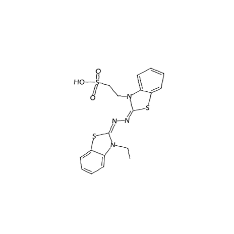 CCn1c(=NN=c2sc3ccccc3n2CCS(=O)(=O)O)sc2ccccc21